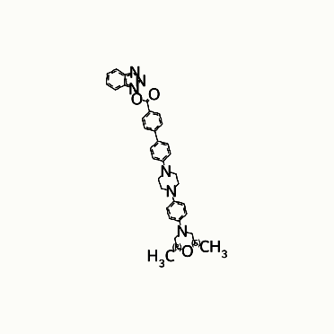 C[C@@H]1CN(c2ccc(N3CCN(c4ccc(-c5ccc(C(=O)On6nnc7ccccc76)cc5)cc4)CC3)cc2)C[C@H](C)O1